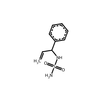 C=CC(NS(N)(=O)=O)c1ccccc1